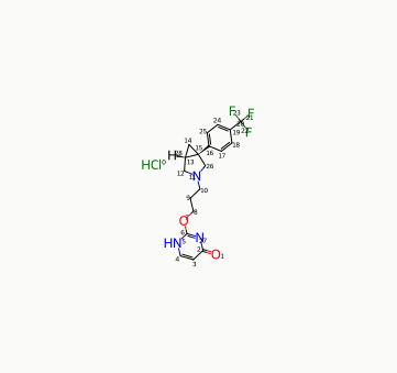 Cl.O=c1cc[nH]c(OCCCN2C[C@@H]3C[C@]3(c3ccc(C(F)(F)F)cc3)C2)n1